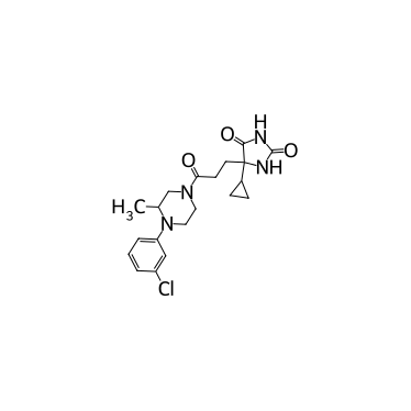 CC1CN(C(=O)CCC2(C3CC3)NC(=O)NC2=O)CCN1c1cccc(Cl)c1